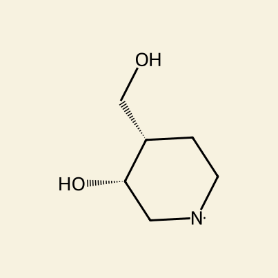 OC[C@@H]1CC[N]C[C@@H]1O